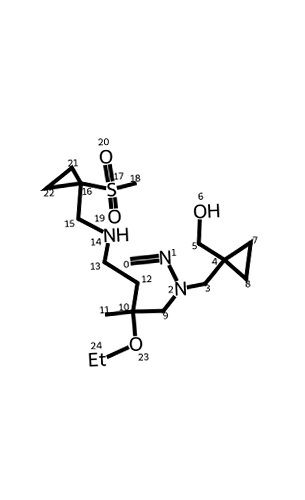 C=NN(CC1(CO)CC1)CC(C)(CCNCC1(S(C)(=O)=O)CC1)OCC